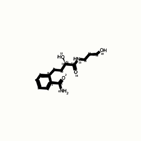 NC(=O)c1ccccc1C[CH][C@H](O)C(=O)NCCCO